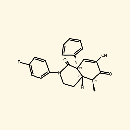 C[C@@H]1C(=O)C(C#N)=C[C@]2(c3ccccc3)C(=O)N(c3ccc(F)cc3)CC[C@@H]12